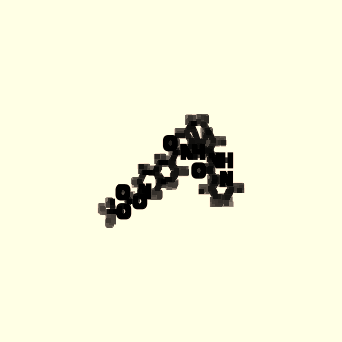 CC(C)(C)OC(=O)ON1CCc2cc(C(=O)NC34CC5CC(C3)CC(NC(=O)c3ccccn3)(C5)C4)ccc2C1